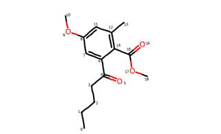 CCCCC(=O)c1cc(OC)cc(C)c1C(=O)OC